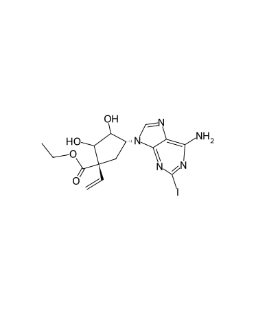 C=C[C@]1(C(=O)OCC)C[C@@H](n2cnc3c(N)nc(I)nc32)C(O)C1O